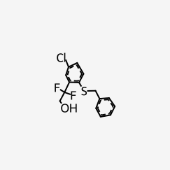 OCC(F)(F)c1cc(Cl)ccc1SCc1ccccc1